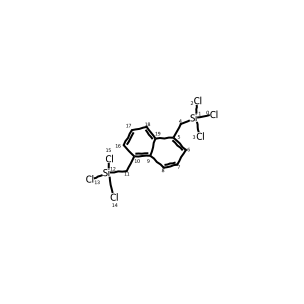 Cl[Si](Cl)(Cl)Cc1cccc2c(C[Si](Cl)(Cl)Cl)cccc12